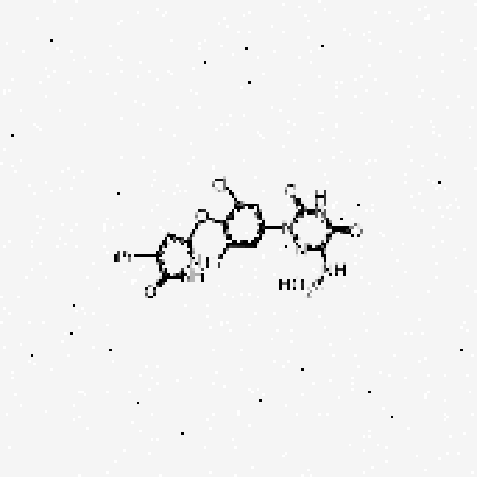 CC(C)c1cc(Oc2c(Cl)cc(-n3nc(NC(=O)O)c(=O)[nH]c3=O)cc2Cl)n[nH]c1=O